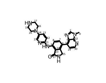 Cn1cnc2c(-c3ccc(Nc4ccc(N5CCNCC5)cn4)c4c3CNC4=O)ccnc21